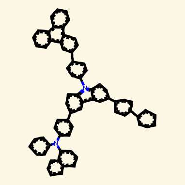 c1ccc(-c2ccc(-c3ccc4c(c3)c3cc(-c5ccc(N(c6ccccc6)c6cccc7ccccc67)cc5)ccc3n4-c3ccc(-c4ccc5c6ccccc6c6ccccc6c5c4)cc3)cc2)cc1